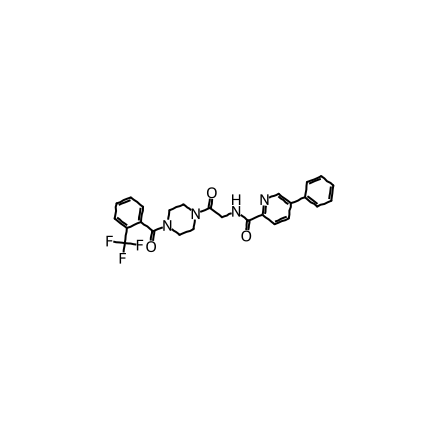 O=C(NCC(=O)N1CCN(C(=O)c2ccccc2C(F)(F)F)CC1)c1ccc(-c2ccccc2)cn1